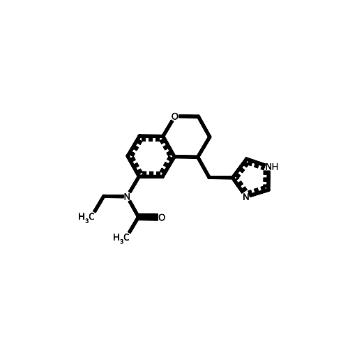 CCN(C(C)=O)c1ccc2c(c1)C(Cc1c[nH]cn1)CCO2